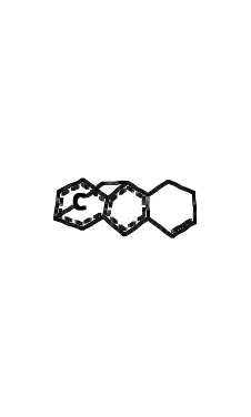 C1=Cc2cc3cc4ccc3c(c2CC1)CC4